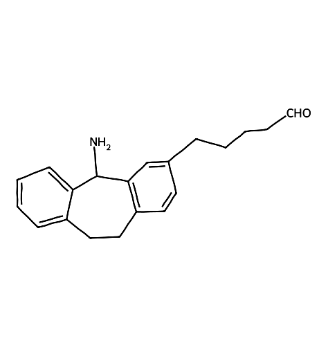 NC1c2ccccc2CCc2ccc(CCCCC=O)cc21